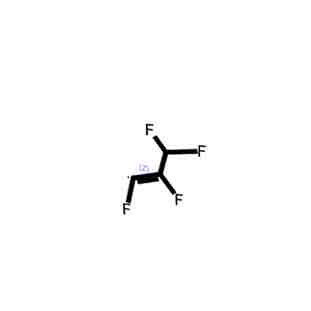 F/[C]=C(\F)C(F)F